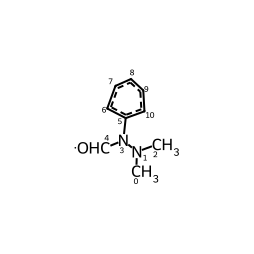 CN(C)N([C]=O)c1ccccc1